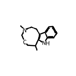 CC1CCCN(C)CCc2c1[nH]c1ccccc21